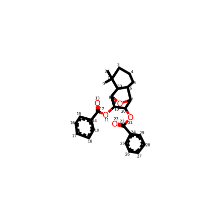 CC1(C)CCCC2C3OC(C(OC(=O)c4ccccc4)C3OC(=O)c3ccccc3)C21